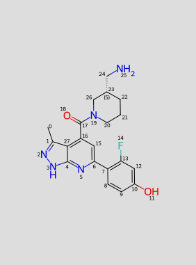 Cc1n[nH]c2nc(-c3ccc(O)cc3F)cc(C(=O)N3CCC[C@@H](CN)C3)c12